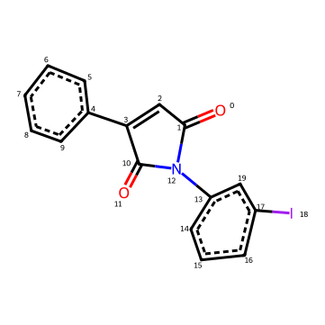 O=C1C=C(c2ccccc2)C(=O)N1c1cccc(I)c1